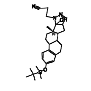 CC(C)(C)[Si](C)(C)Oc1ccc2c(c1)CCC1C2CC[C@@]2(C)C1CC1C=NN(CCC#N)C12O